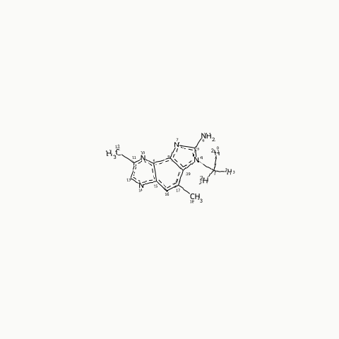 [2H]C([2H])([2H])n1c(N)nc2c3nc(C)cnc3cc(C)c21